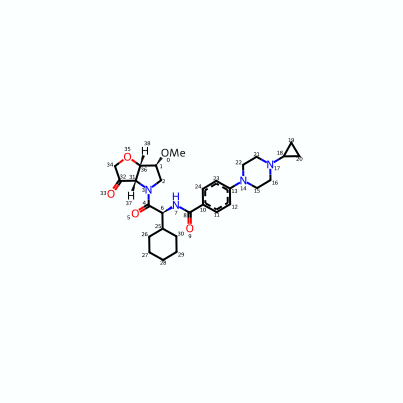 CO[C@H]1CN(C(=O)[C@@H](NC(=O)c2ccc(N3CCN(C4CC4)CC3)cc2)C2CCCCC2)[C@@H]2C(=O)CO[C@H]12